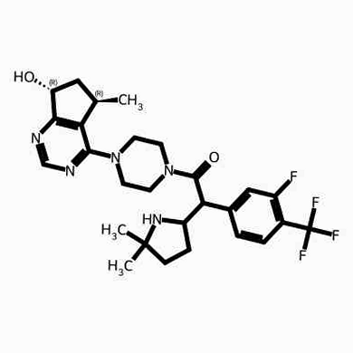 C[C@@H]1C[C@@H](O)c2ncnc(N3CCN(C(=O)C(c4ccc(C(F)(F)F)c(F)c4)C4CCC(C)(C)N4)CC3)c21